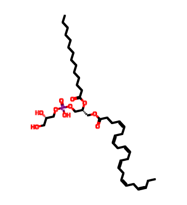 CC/C=C\C/C=C\C/C=C\C/C=C\C/C=C\C/C=C\CCC(=O)OC[C@H](COP(=O)(O)OC[C@@H](O)CO)OC(=O)CCCCCCCCCCCCC